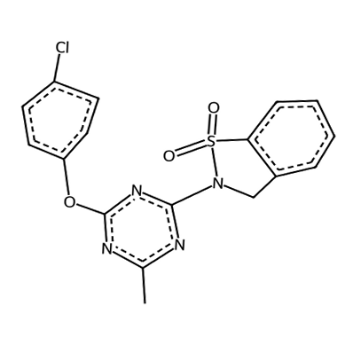 Cc1nc(Oc2ccc(Cl)cc2)nc(N2Cc3ccccc3S2(=O)=O)n1